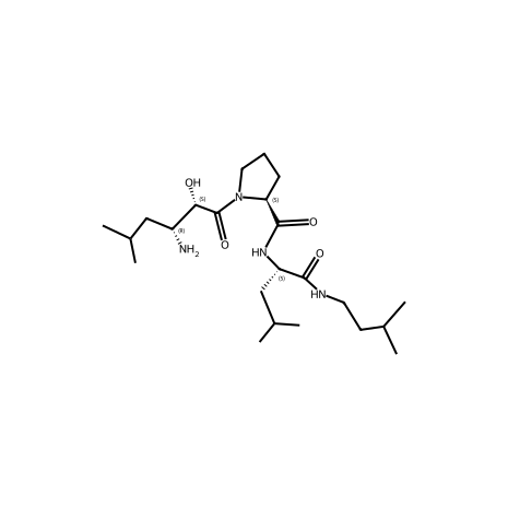 CC(C)CCNC(=O)[C@H](CC(C)C)NC(=O)[C@@H]1CCCN1C(=O)[C@@H](O)[C@H](N)CC(C)C